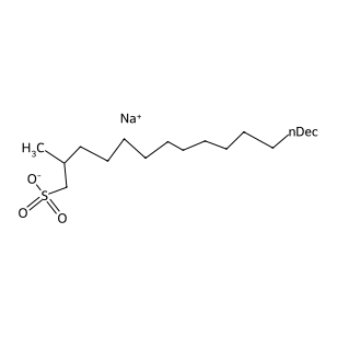 CCCCCCCCCCCCCCCCCCCCC(C)CS(=O)(=O)[O-].[Na+]